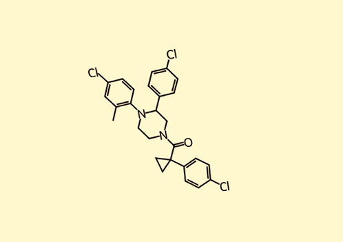 Cc1cc(Cl)ccc1N1CCN(C(=O)C2(c3ccc(Cl)cc3)CC2)CC1c1ccc(Cl)cc1